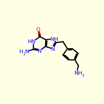 NCc1ccc(Cc2nc3nc(N)[nH]c(=O)c3[nH]2)cc1